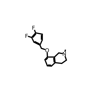 CN1CCc2cccc(OCc3ccc(F)c(F)c3)c2C1